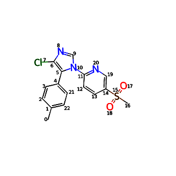 Cc1ccc(-c2c(Cl)ncn2-c2ccc(S(C)(=O)=O)cn2)cc1